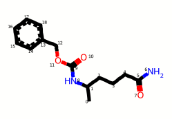 CC(CCCC(N)=O)NC(=O)OCc1ccccc1